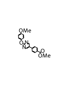 COC(=O)c1ccc(-c2cnc(Oc3ccc(OC)cc3)nc2)cc1